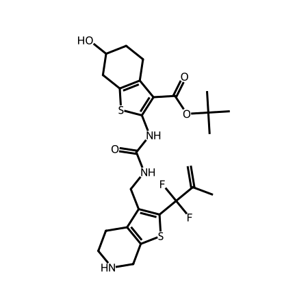 C=C(C)C(F)(F)c1sc2c(c1CNC(=O)Nc1sc3c(c1C(=O)OC(C)(C)C)CCC(O)C3)CCNC2